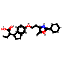 CCC(C(=O)O)C1CCc2cc(OCCc3nc(C4CCCCC4)oc3C)ccc21